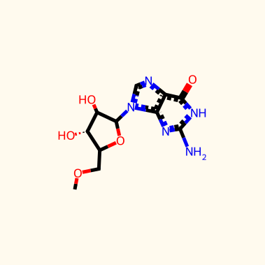 COCC1OC(n2cnc3c(=O)[nH]c(N)nc32)C(O)[C@H]1O